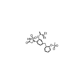 C=C(Oc1cc(Cc2ccccc2OS(C)(=O)=O)ccc1N1CC(=O)NS1(=O)=O)N(CC)CC